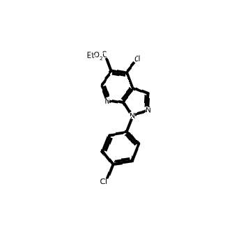 CCOC(=O)c1cnc2c(cnn2-c2ccc(Cl)cc2)c1Cl